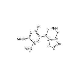 COc1cc(F)c(C2CNCc3ccsc32)cc1OC